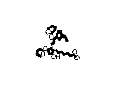 CCC1CCC([C@@H](C=C[C@@H]2[C@@H](CCCCCCC(=O)OC)[C@@H](O)C[C@H]2OC2CCCCO2)OC2CCCCO2)C1